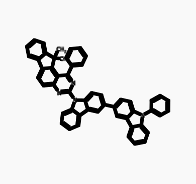 CC1(C)c2ccccc2-c2ccc3nc(-n4c5ccccc5c5cc(-c6ccc7c(c6)c6ccccc6n7-c6ccccc6)ccc54)nc(-c4ccccc4)c3c21